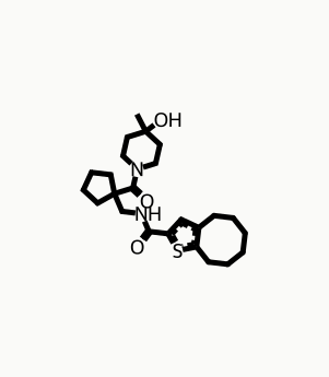 CC1(O)CCN(C(=O)C2(CNC(=O)c3cc4c(s3)CCCCCC4)CCCC2)CC1